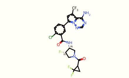 Nc1ncnn2c(-c3ccc(Cl)c(C(=O)N[C@@H]4CN(C(=O)C5CC5(F)F)C[C@@H]4F)c3)cc(C(F)(F)F)c12